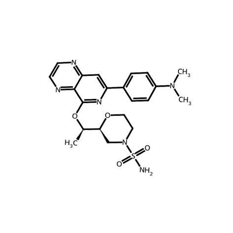 C[C@@H](Oc1nc(-c2ccc(N(C)C)cc2)cc2nccnc12)[C@@H]1CN(S(N)(=O)=O)CCO1